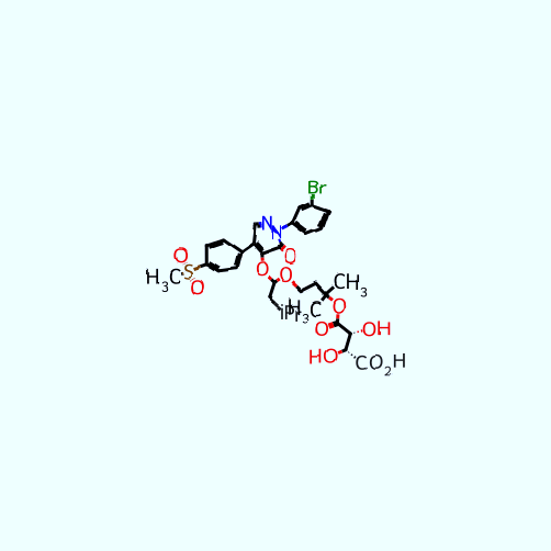 CC(C)CC(OCCC(C)(C)OC(=O)[C@H](O)[C@@H](O)C(=O)O)Oc1c(-c2ccc(S(C)(=O)=O)cc2)cnn(-c2cccc(Br)c2)c1=O